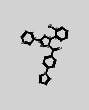 O=C(c1ccc(-n2cccc2)cc1)N1N=C(c2cccnc2)CC1c1ccccc1O